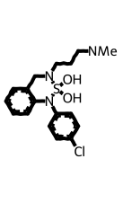 CNCCCN1Cc2ccccc2N(c2ccc(Cl)cc2)S1(O)O